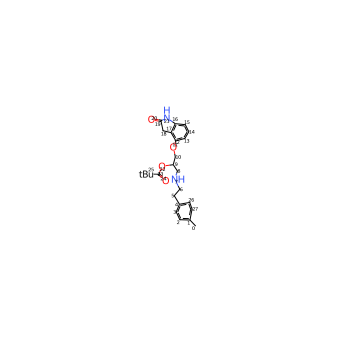 Cc1ccc(CCNCC(COc2cccc3c2CC(=O)N3)OC(=O)C(C)(C)C)cc1